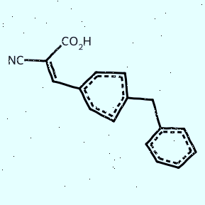 N#CC(=Cc1ccc(Cc2ccccc2)cc1)C(=O)O